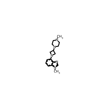 CN1CCN(C2CN(c3cccc4c3ncn4C)C2)CC1